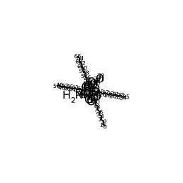 CCCCCCCCCCCC(=O)OC(C(=O)NCCN)C(OC(=O)CCCCCCCCCCC)C(OC(=O)CCCCCCCCCCC)C(OC(=O)CCCCCCCCCCC)C(=O)OCCOC